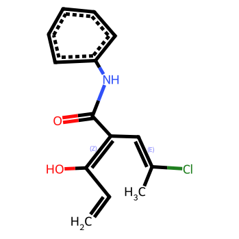 C=C/C(O)=C(\C=C(/C)Cl)C(=O)Nc1ccccc1